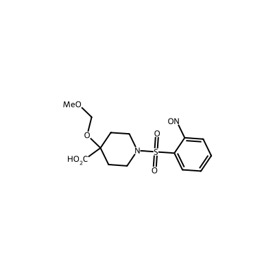 COCOC1(C(=O)O)CCN(S(=O)(=O)c2ccccc2N=O)CC1